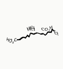 CCC(CCCCCCCCCCCCCC(=O)O)C(=O)O.Cl.Cl